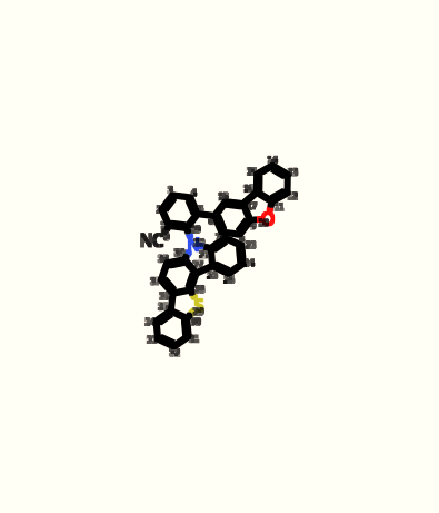 N#Cc1cccc(-c2ccc3oc4ccccc4c3c2)c1-n1c2ccccc2c2c3sc4ccccc4c3ccc21